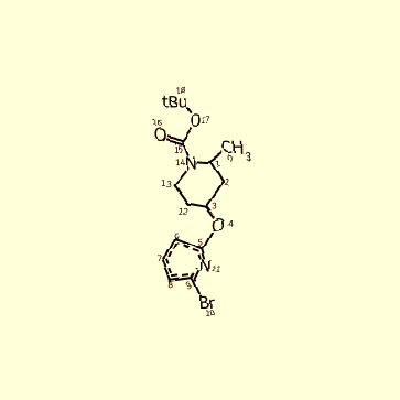 CC1CC(Oc2cccc(Br)n2)CCN1C(=O)OC(C)(C)C